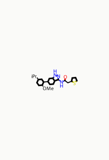 COc1ccc(C(C)C)cc1-c1ccc2c(NC(=O)Cc3cccs3)n[nH]c2c1